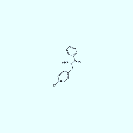 O=C(c1ccccc1)C(O)Cc1ccc(Cl)cc1